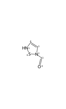 O=[C]N1C=CNS1